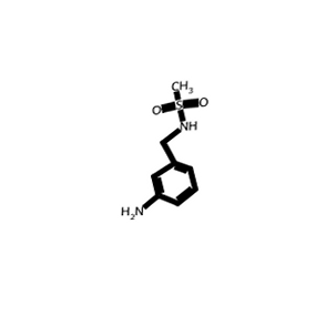 CS(=O)(=O)NCc1cccc(N)c1